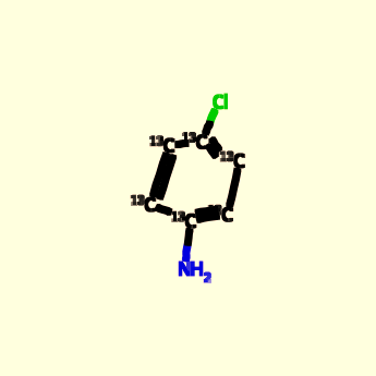 N[13c]1[13cH][13cH][13c](Cl)[13cH][13cH]1